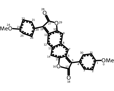 COc1ccc(C2=c3cc4cc5c(cc4cc3OC2=O)=C(c2ccc(OC)cc2)C(=O)O5)cc1